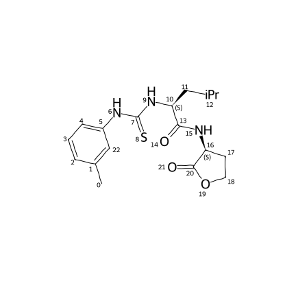 Cc1cccc(NC(=S)N[C@@H](CC(C)C)C(=O)N[C@H]2CCOC2=O)c1